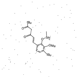 COc1c(C(C)(C)C)ccc(C=CC(=O)CC(=O)C(C)(C)C)c1O[SiH](C)C